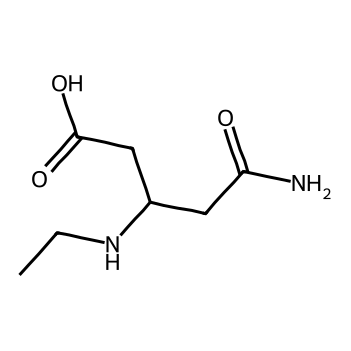 CCNC(CC(N)=O)CC(=O)O